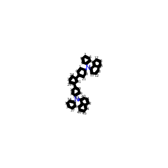 C1=CC(N(c2ccccc2)c2cccc3ccccc23)CC=C1c1cccc(-c2ccc(N(c3ccccc3)c3cccc4ccccc34)cc2)c1